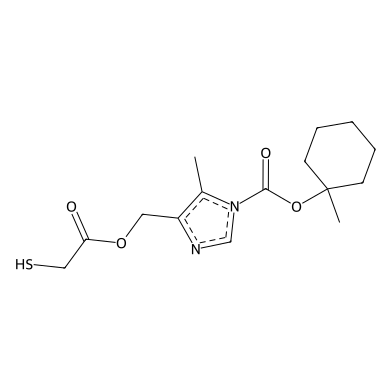 Cc1c(COC(=O)CS)ncn1C(=O)OC1(C)CCCCC1